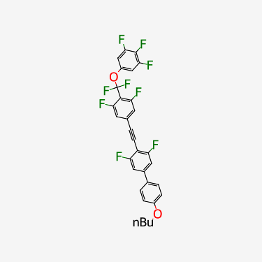 CCCCOc1ccc(-c2cc(F)c(C#Cc3cc(F)c(C(F)(F)Oc4cc(F)c(F)c(F)c4)c(F)c3)c(F)c2)cc1